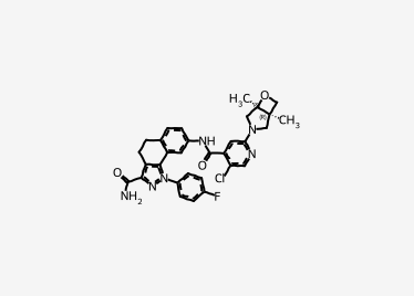 C[C@@]12CO[C@]1(C)CN(c1cc(C(=O)Nc3ccc4c(c3)-c3c(c(C(N)=O)nn3-c3ccc(F)cc3)CC4)c(Cl)cn1)C2